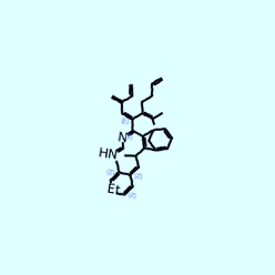 C=CCCC(=C(C)C)C(=C\C(=C)C=C)/C(=N/C=N)C1=C(C(C)/C=C(/C=C\C)C(\C)=C/CC)C2=CC=CC1C2